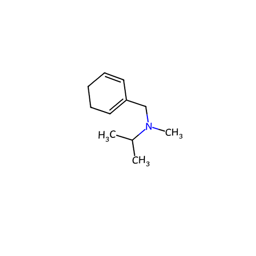 CC(C)N(C)CC1=CCCC=C1